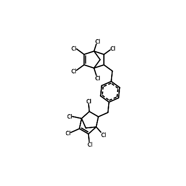 ClC1=C(Cl)C2(Cl)CC1(Cl)C(Cl)C2Cc1ccc(CC2C(Cl)C3(Cl)CC2(Cl)C(Cl)=C3Cl)cc1